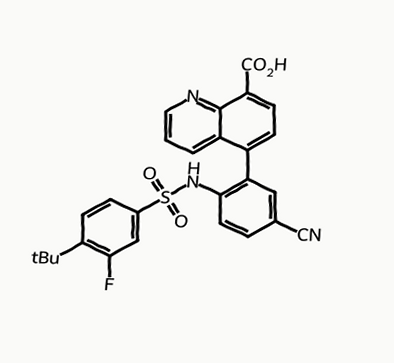 CC(C)(C)c1ccc(S(=O)(=O)Nc2ccc(C#N)cc2-c2ccc(C(=O)O)c3ncccc23)cc1F